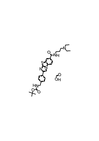 CCN(CC)CCCNC(=O)c1ccc2c(c1)sc1nc(-c3ccc(CNC(=O)OC(C)(C)C)cc3)cn12.O=CO